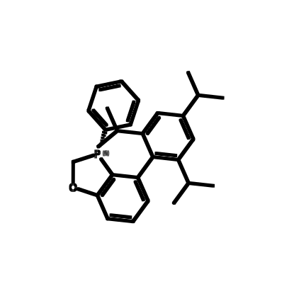 CC(C)c1cc(C(C)C)c(-c2cccc3c2[P@@](c2ccccc2)CO3)c(C(C)C)c1